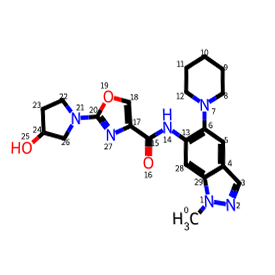 Cn1ncc2cc(N3CCCCC3)c(NC(=O)c3coc(N4CCC(O)C4)n3)cc21